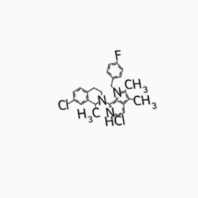 Cc1c(C)n(Cc2ccc(F)cc2)c2c(N3CCc4ccc(Cl)cc4C3C)nccc12.Cl